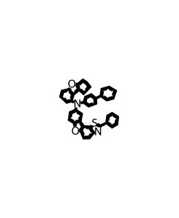 c1ccc(-c2ccc(N(c3ccc4oc5ccc6nc(-c7ccccc7)sc6c5c4c3)c3cccc4oc5ccccc5c34)cc2)cc1